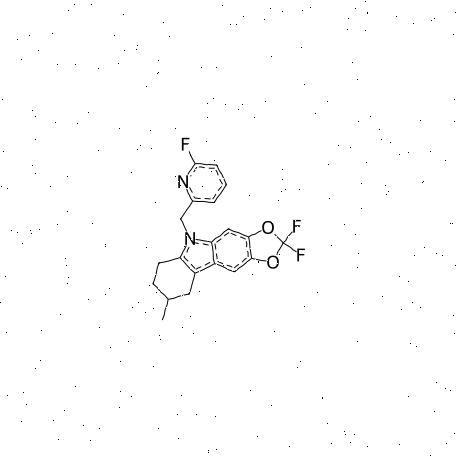 CC1CCc2c(c3cc4c(cc3n2Cc2cccc(F)n2)OC(F)(F)O4)C1